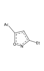 CCc1cc(C(C)=O)on1